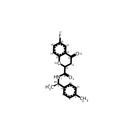 Cc1ccc([C@@H](C)NC(=O)C2CC(=O)c3cc(F)ccc3O2)cc1